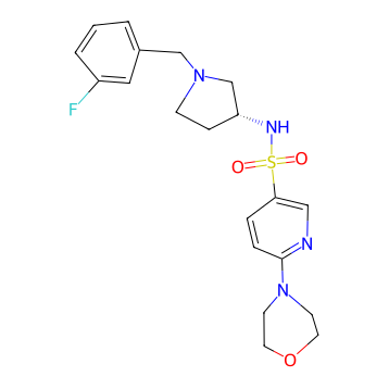 O=S(=O)(N[C@@H]1CCN(Cc2cccc(F)c2)C1)c1ccc(N2CCOCC2)nc1